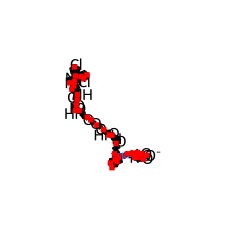 Cc1ccc2c(c1)C(C)(C)\C(=C/C=C/C=C/C1=[N+](C)c3ccc(S(=O)(=O)[O-])cc3C1(C)C)N2CCCCCC(=O)N(C)CC(=O)NCCCOCCOCCOCCCNC(=O)CN(C)C(=O)CCC(=O)NC1CCN(c2ncnc3c2nc(-c2ccccc2Cl)n3-c2ccc(Cl)cc2)CC1